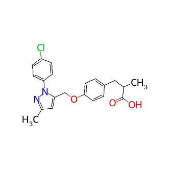 Cc1cc(COc2ccc(CC(C)C(=O)O)cc2)n(-c2ccc(Cl)cc2)n1